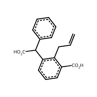 C=CCc1c(C(=O)O)cccc1C(C(=O)O)c1ccccc1